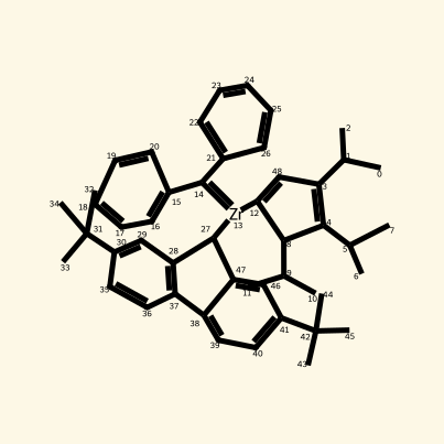 CC(C)C1=C(C(C)C)C(C(C)C)[C]([Zr](=[C](c2ccccc2)c2ccccc2)[CH]2c3cc(C(C)(C)C)ccc3-c3ccc(C(C)(C)C)cc32)=C1